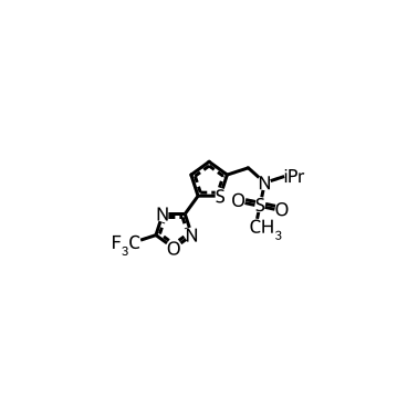 CC(C)N(Cc1ccc(-c2noc(C(F)(F)F)n2)s1)S(C)(=O)=O